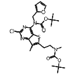 Cc1c(CCN(C)C(=O)OC(C)(C)C)sc2c(N(Cc3ccco3)C(=O)OC(C)(C)C)nc(Cl)nc12